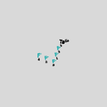 [F-].[F-].[F-].[F-].[F-].[Ta+5]